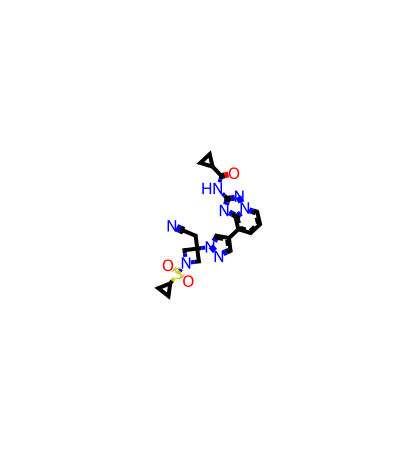 N#CCC1(n2cc(-c3cccn4nc(NC(=O)C5CC5)nc34)cn2)CN(S(=O)(=O)C2CC2)C1